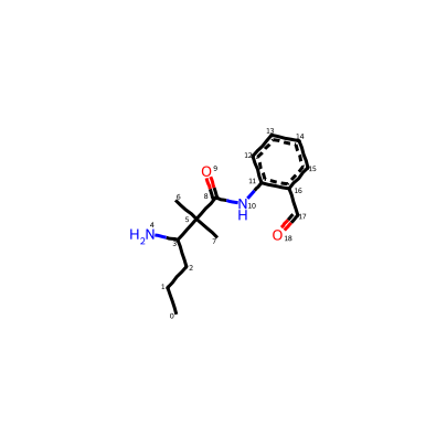 CCCC(N)C(C)(C)C(=O)Nc1ccccc1C=O